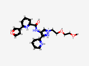 COCCOCCn1cc(NC(=O)c2cccc(-c3ccoc3)n2)c(-c2ccccn2)n1